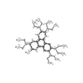 CCN(CC)c1cc2c(cc1N(CC)CC)c1nc(N(CC)CC)c(N(CC)CC)nc1c1nc(N(CC)CC)c(C)nc21